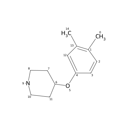 Cc1ccc(OC2CC[N]CC2)cc1C